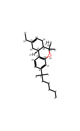 CCCCCC(C)(C)c1ccc2c(c1)OC(C)(C)[C@@H]1CC=C(CC)C[C@@H]21